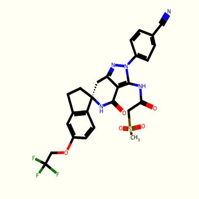 CS(=O)(=O)CC(=O)Nc1c2c(nn1-c1ccc(C#N)cc1)C[C@]1(CCc3cc(OCC(F)(F)F)ccc31)NC2=O